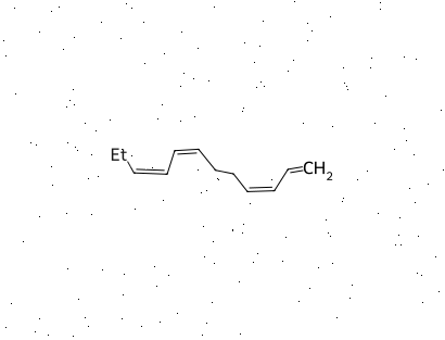 C=C/C=C\CC/C=C\C=C/CC